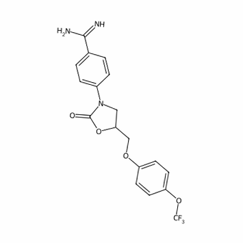 N=C(N)c1ccc(N2CC(COc3ccc(OC(F)(F)F)cc3)OC2=O)cc1